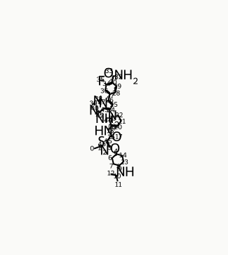 Cc1nc(OC2CCC(NC(C)C)CC2)c(C(=O)N[C@@H]2CCCN(c3cc(-c4ccc(C(N)=O)c(F)c4)n4ncnc(N)c34)C2)s1